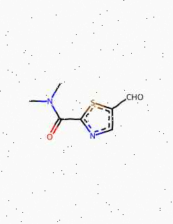 CN(C)C(=O)c1ncc(C=O)s1